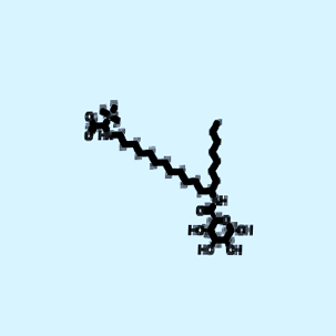 CCCCCCCC(CCCCCCCCCCCCNC(C(=O)[O-])[N+](C)(C)C)NC(=O)[C@H]1O[C@H](O)[C@@H](O)[C@@H](O)[C@@H]1O